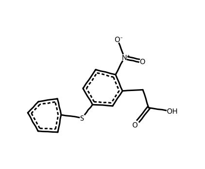 O=C(O)Cc1cc(Sc2ccccc2)ccc1[N+](=O)[O-]